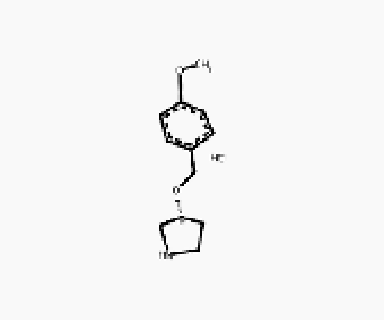 COc1ccc(CO[C@@H]2CCNC2)cc1.Cl